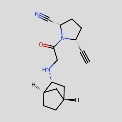 C#C[C@H]1CC[C@@H](C#N)N1C(=O)CN[C@@H]1C[C@@H]2CC[C@@H]1C2